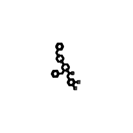 O=C(Cc1ccc(Cl)c(Cl)c1)N1CCC(N2CCN(Cc3ccccc3)CC2)CC1Cc1ccccc1